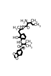 CC[C@H](C)[C@@H](N)C(=O)NCC(C)Cc1cccc(N[C@H](C(C)C)S(=O)(=O)c2ccc3c(c2)OCO3)c1O